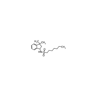 CCCCCCCS(=O)(=O)NC1CC(C)(C)c2ccccc21